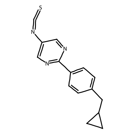 S=C=Nc1cnc(-c2ccc(CC3CC3)cc2)nc1